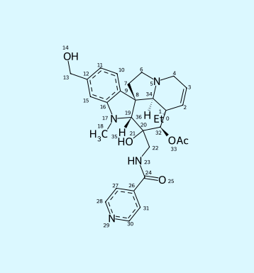 CC[C@]12C=CCN3CC[C@@]4(c5ccc(CO)cc5N(C)[C@H]4C(O)(CNC(=O)c4ccncc4)[C@@H]1OC(C)=O)[C@@H]32